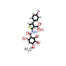 COc1cc(Br)c(C(=O)Nc2scc(-c3ccc(I)cc3)c2C(=O)O)c(Br)c1Br